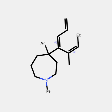 C=C/C=C(\C(C)=C/CC)C1(C(C)=O)CCCN(CC)CC1